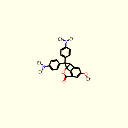 CCOc1cc2c3c(c1)C1C3(OC2=O)C1(c1ccc(N(CC)CC)cc1)c1ccc(N(CC)CC)cc1